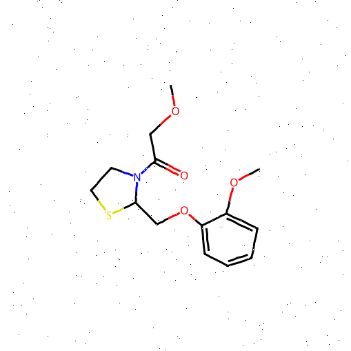 COCC(=O)N1CCSC1COc1ccccc1OC